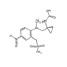 CN(CC1(NC(=O)O)CC1)c1ccc([N+](=O)[O-])cc1CS(C)(=O)=O